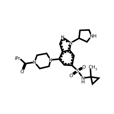 CC(C)C(=O)N1CCN(c2cc(S(=O)(=O)NC3(C)CC3)cc3c2cnn3C2CCNC2)CC1